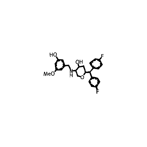 COc1cc(O)cc(CNC2COC(C(c3ccc(F)cc3)c3ccc(F)cc3)CC2O)c1